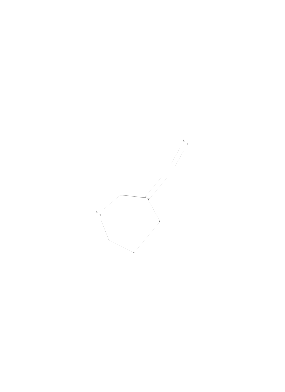 N=C=C1CCCNC1